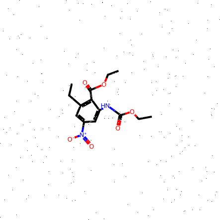 CCOC(=O)Nc1cc([N+](=O)[O-])cc(CC)c1C(=O)OCC